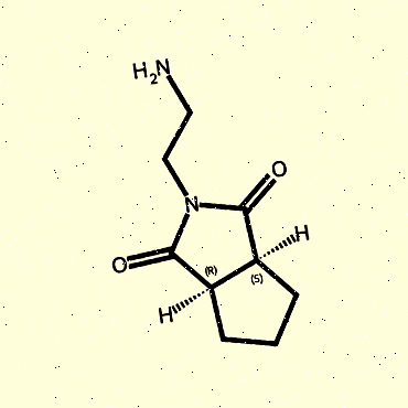 NCCN1C(=O)[C@H]2CCC[C@H]2C1=O